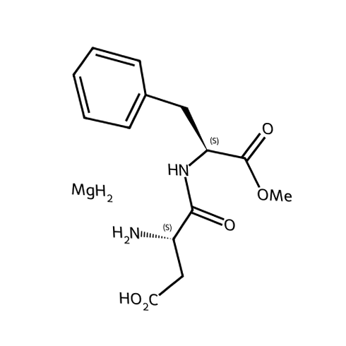 COC(=O)[C@H](Cc1ccccc1)NC(=O)[C@@H](N)CC(=O)O.[MgH2]